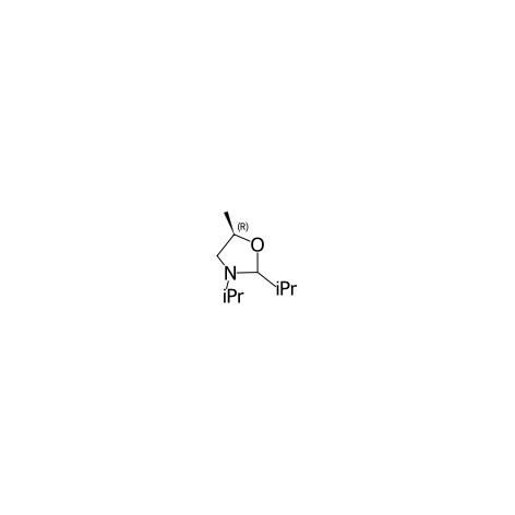 CC(C)C1O[C@H](C)CN1C(C)C